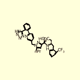 CCCc1cc(C(=O)N[C@@H](CC(=O)O)Cc2ccccc2C(F)(F)F)nn1Cc1ccc(-c2ccccc2-c2nnn[nH]2)nc1